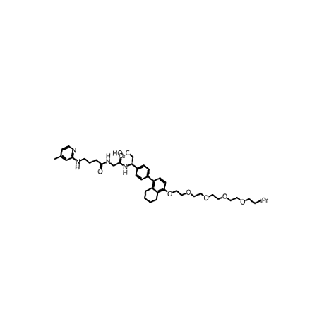 Cc1ccnc(NCCCC(=O)NCC(=O)N[C@@H](CC(=O)O)c2ccc(-c3ccc(OCCOCCOCCOCCOCCC(C)C)c4c3CCCC4)cc2)c1